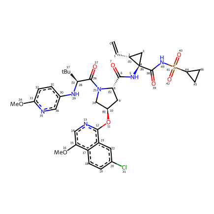 C=C[C@@H]1C[C@]1(NC(=O)[C@@H]1C[C@@H](Oc2ncc(OC)c3ccc(Cl)cc23)CN1C(=O)[C@@H](Nc1ccc(OC)nc1)C(C)(C)C)C(=O)NS(=O)(=O)C1CC1